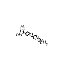 C=NOCN1CCC(COc2ccc(/C(=C/C)CCC)cc2)CC1